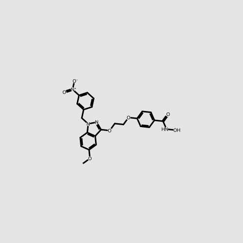 COc1ccc2c(c1)c(OCCOc1ccc(C(=O)NO)cc1)nn2Cc1cccc([N+](=O)[O-])c1